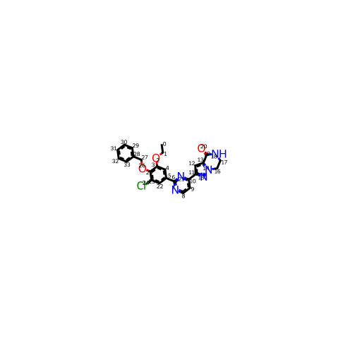 CCOc1cc(-c2nccc(-c3cc4n(n3)CCNC4=O)n2)cc(Cl)c1OCc1ccccc1